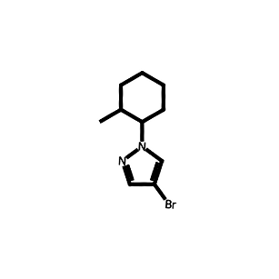 CC1CCCCC1n1cc(Br)cn1